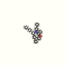 c1ccc(-c2ccc(-c3cccc(N(c4ccc(-c5ccccc5)cc4)c4cc5c(oc6cccc(-c7ccccc7-c7ccccc7)c65)c5ccccc45)c3)cc2)cc1